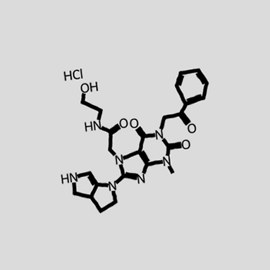 Cl.Cn1c(=O)n(CC(=O)c2ccccc2)c(=O)c2c1nc(N1CCC3CNC=C31)n2CC(=O)NCCO